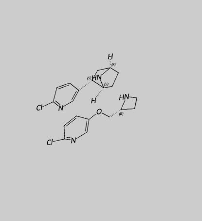 Clc1ccc(OC[C@H]2CCN2)cn1.Clc1ccc([C@@H]2C[C@H]3CC[C@@H]2N3)cn1